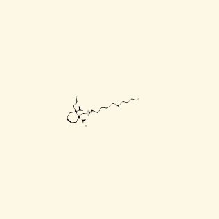 CCCCCCCCCCCCCC1(C(=O)O)CC=CCC1(CCCC)C(=O)O